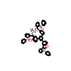 CC1c2cc(-c3cc(-c4ccc5c(c4)C(C)c4ccccc4N(c4ccccc4)O5)cc(-c4ccc5c(c4)C4c6ccccc6N(c6ccccc6)C4O5)c3)ccc2ON(c2ccccc2)c2ccccc21